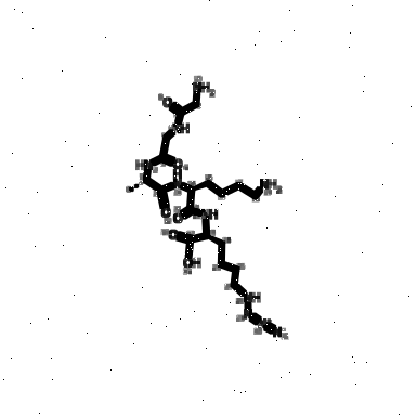 C[C@H](NC(=O)CNC(=O)CN)C(=O)N[C@@H](CCCCN)C(=O)N[C@@H](CCCCNN=[N+]=[N-])C(=O)O